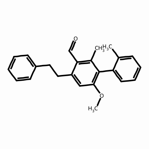 COc1cc(CCc2ccccc2)c(C=O)c(C)c1-c1ccccc1C